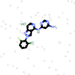 Cl.Nc1cc(Nc2nccc3nn(-c4c(F)cccc4Cl)cc23)ncn1